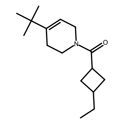 CCC1CC(C(=O)N2CC=C(C(C)(C)C)CC2)C1